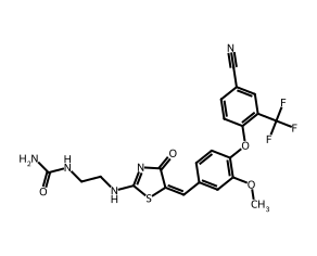 COc1cc(/C=C2/SC(NCCNC(N)=O)=NC2=O)ccc1Oc1ccc(C#N)cc1C(F)(F)F